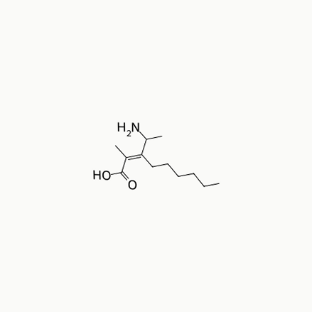 CCCCCC/C(=C(/C)C(=O)O)C(C)N